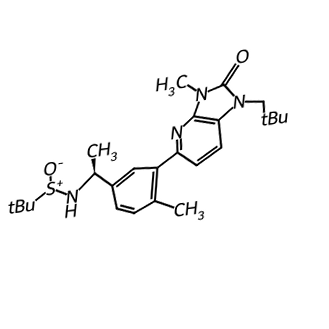 Cc1ccc([C@H](C)N[S+]([O-])C(C)(C)C)cc1-c1ccc2c(n1)n(C)c(=O)n2CC(C)(C)C